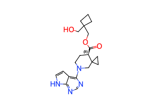 O=C(OCC1(CO)CCC1)[C@@H]1CCN(c2ncnc3[nH]ccc23)CC12CC2